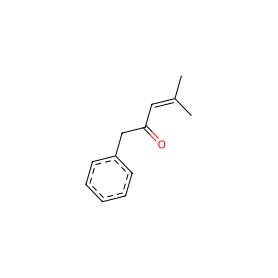 CC(C)=CC(=O)Cc1ccccc1